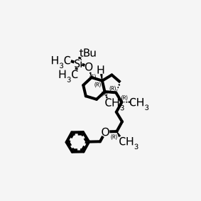 C[C@H](CC[C@@H](C)[C@H]1CC[C@H]2[C@@H](O[Si](C)(C)C(C)(C)C)CCC[C@]12C)OCc1ccccc1